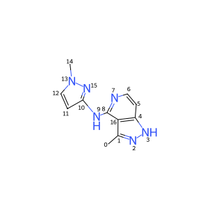 Cc1n[nH]c2ccnc(Nc3ccn(C)n3)c12